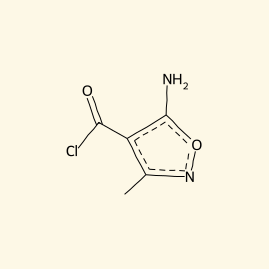 Cc1noc(N)c1C(=O)Cl